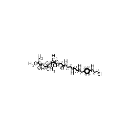 C=C(C)C(=O)NCC(C)(C)OCC(C)(C)OCCC(=O)NCCNCCNCc1ccc(NCCCl)cc1